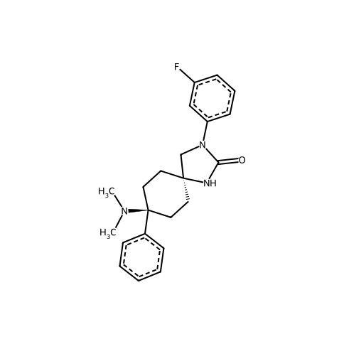 CN(C)[C@]1(c2ccccc2)CC[C@]2(CC1)CN(c1cccc(F)c1)C(=O)N2